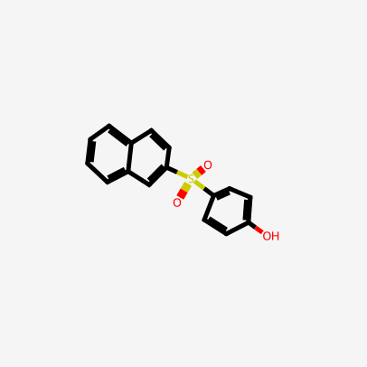 O=S(=O)(c1ccc(O)cc1)c1ccc2ccccc2c1